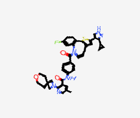 Cc1cnc(N2CC3(CCOCC3)C2)c(C(=O)Nc2ccc(C(=O)N3CCc4cc(-c5c[nH]nc5C5CC5)sc4-c4ccc(F)cc43)cc2)c1